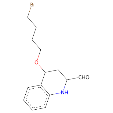 O=CC1CC(OCCCCBr)c2ccccc2N1